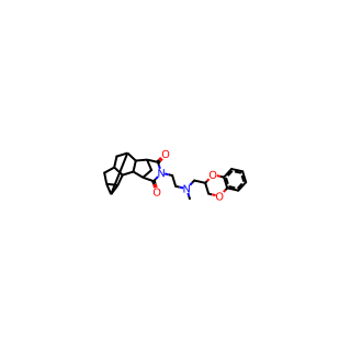 CN(CCN1C(=O)C2CC(C1=O)C1C2C2CC3CC4C2C4C31)CC1COc2ccccc2O1